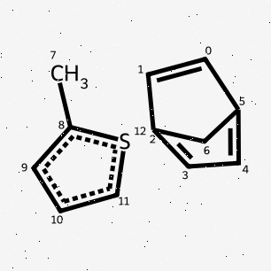 C1=CC2=CC=C1C2.Cc1cccs1